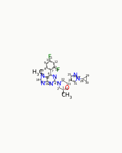 C[C@H]1CN(c2nc(-c3ccc(F)cc3F)c3c(ncn3C)n2)C[C@H](c2cnn(C3CC3)c2)O1